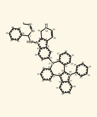 C/N=N\C(Nn1c2c(c3cc(N4c5ccccc5-c5c(n(-c6ccccc6)c6ccccc56)-c5ccccc54)ccc31)C=CNC2)c1ccccc1